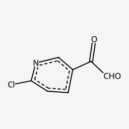 O=CC(=O)c1ccc(Cl)nc1